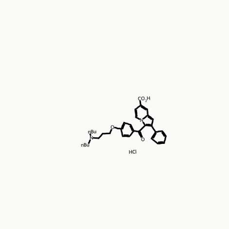 CCCCN(CCCC)CCCOc1ccc(C(=O)c2c(-c3ccccc3)cc3cc(C(=O)O)ccn23)cc1.Cl